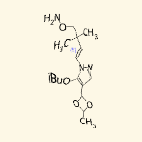 CC(C)COc1c(C2OC(C)O2)cnn1/C=C/C(C)(C)CON